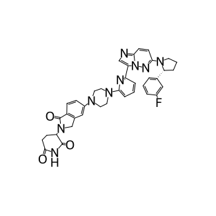 O=C1CCC(N2Cc3cc(N4CCN(c5cccc(-c6cnc7ccc(N8CCC[C@@H]8c8cccc(F)c8)nn67)n5)CC4)ccc3C2=O)C(=O)N1